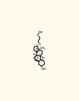 C[C@]12CC[C@H]3[C@@H](CC=C4C[C@@H](O)CC[C@@]43C)[C@@H]1CC[C@@H]2OCCOO